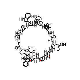 CCC[C@@H]1NC(=O)[C@H](CCC(=O)O)NC(=O)CNC(=O)[C@H](CC(C)C)NC(=O)[C@H](Cc2c[nH]cn2)NC(=O)[C@H](Cc2c[nH]c3ccccc23)NC(=O)[C@H](C)NC(=O)[C@@H](NC)CCC(=O)N2CCC(C(=O)N[C@H](C(N)=O)C(C)O)(CC2)NC(=O)[C@H](Cc2c[nH]c3ccccc23)NC(=O)[C@H](C(C)C)NC1=O